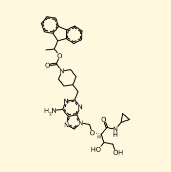 CC(OC(=O)N1CCC(Cc2nc(N)c3ncn(CO[C@H](C(=O)NC4CC4)C(O)CO)c3n2)CC1)C1c2ccccc2-c2ccccc21